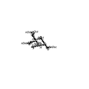 CCCCCCCCCCCOC(=O)C(C)(C)CCCCN(CCCCCCCC(=O)OC(CCCCCCCC)CCCCCCCC)CCNC(=O)CN(CCCNC(=S)N(C)C)CC(=O)NCCN(CCCCCCC(C)(C)C(=O)OC(CCCCCCCC)CCCCCCCC)CCCCC(C)(C)C(=O)OCCCCCCCCCCC